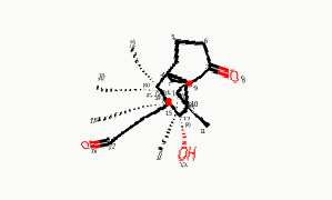 C[C@@H]1CCC23CCC(=O)C2[C@]1(C)[C@H](O)C[C@@](C)(C=O)[C@@H](C)[C@@H]3C